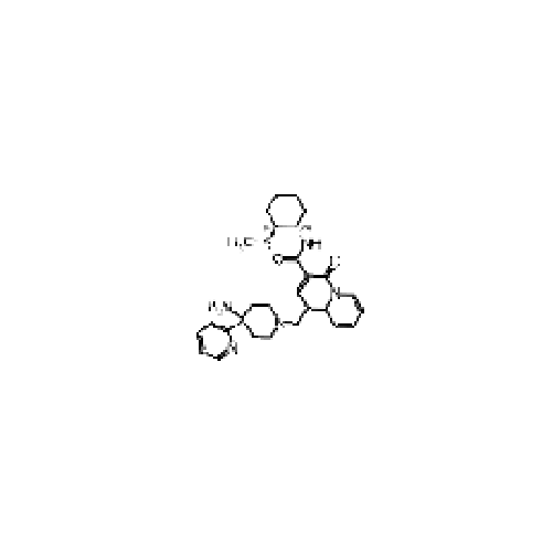 CS[C@H]1CCCC[C@@H]1NC(=O)C1=CC(CN2CCC(N)(c3ccccn3)CC2)C2C=CC=CN2C1=O